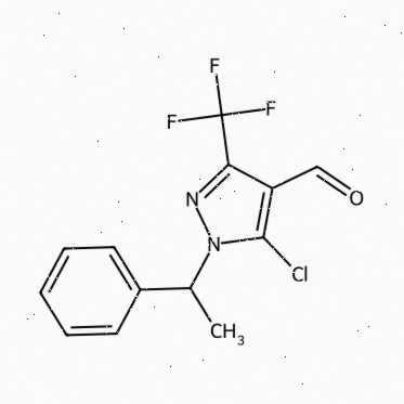 CC(c1ccccc1)n1nc(C(F)(F)F)c(C=O)c1Cl